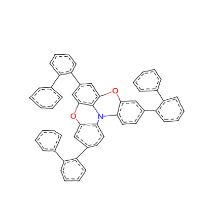 c1ccc(-c2ccccc2-c2ccc3c(c2)Oc2cc(-c4ccccc4-c4ccccc4)cc4c2N3c2ccc(-c3ccccc3-c3ccccc3)cc2O4)cc1